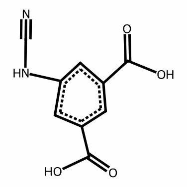 N#CNc1cc(C(=O)O)cc(C(=O)O)c1